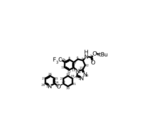 CC(C)(C)OC(=O)NC1Cc2cc(C(F)(F)F)ccc2-n2c(nnc2[C@H]2CC[C@H](Oc3ccccn3)CC2)C1